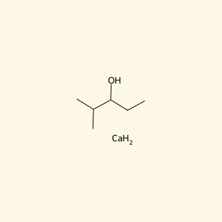 CCC(O)C(C)C.[CaH2]